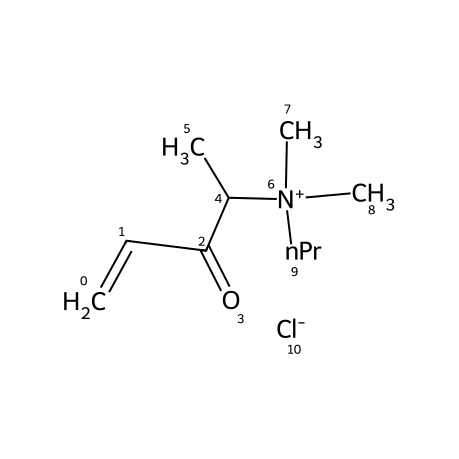 C=CC(=O)C(C)[N+](C)(C)CCC.[Cl-]